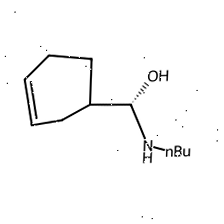 CCCCN[C@@H](O)C1CC=CCC1